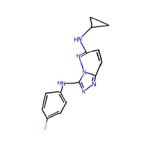 Fc1ccc(Nc2nnc3ccc(NC4CC4)nn23)cc1